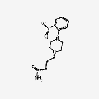 NC(=O)CCCN1CCN(c2ccccc2[N+](=O)[O-])CC1